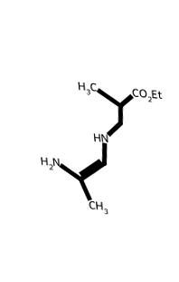 CCOC(=O)C(C)CNC=C(C)N